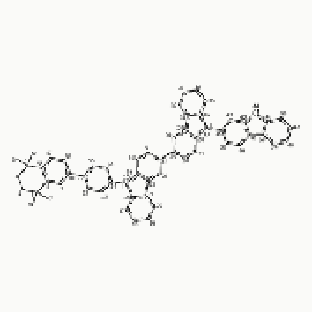 CC1(C)CCC(C)(C)c2cc(-c3ccc(-n4c5ccccc5c5cc(-c6ccc7c(c6)c6ccccc6n7-c6ccc7c(c6)oc6ccccc67)ccc54)cc3)ccc21